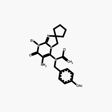 C=C(Cl)N(Cc1ccc(OC(C)=O)cc1)C1=C(N)C(=O)N(CC)C2=NC3(CCCC3)CN21